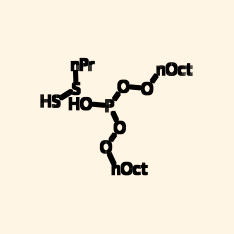 CCCCCCCCOOP(O)OOCCCCCCCC.CCCSS